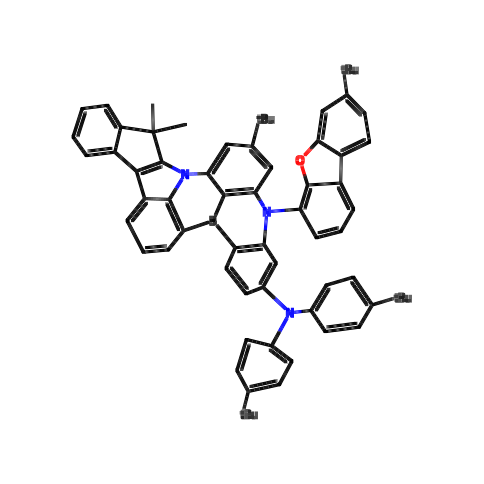 CC(C)(C)c1ccc(N(c2ccc(C(C)(C)C)cc2)c2ccc3c(c2)N(c2cccc4c2oc2cc(C(C)(C)C)ccc24)c2cc(C(C)(C)C)cc4c2B3c2cccc3c5c(n-4c23)C(C)(C)c2ccccc2-5)cc1